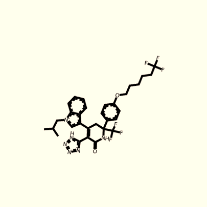 CC(C)Cn1cc(C2=C(c3nnn[nH]3)C(=O)NC(c3ccc(OCCCCCC(F)(F)F)cc3)(C(F)(F)F)C2)c2ccccc21